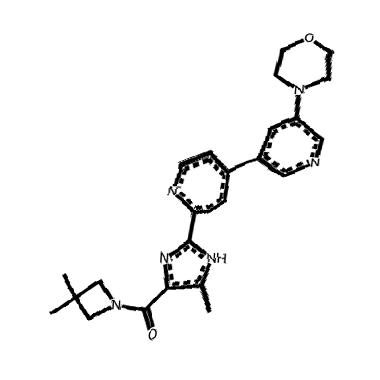 Cc1[nH]c(-c2cc(-c3cncc(N4CCOCC4)c3)ccn2)nc1C(=O)N1CC(C)(C)C1